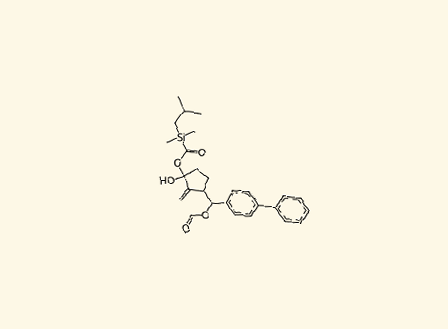 C=C1C(C(OC=O)c2ccc(-c3ccccc3)cc2)CCC1(O)OC(=O)[Si](C)(C)CC(C)C